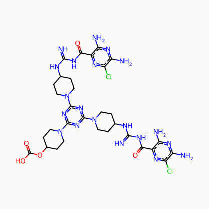 N=C(NC(=O)c1nc(Cl)c(N)nc1N)NC1CCN(c2nc(N3CCC(NC(=N)NC(=O)c4nc(Cl)c(N)nc4N)CC3)nc(N3CCC(OC(=O)O)CC3)n2)CC1